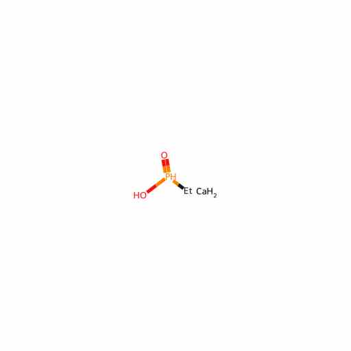 CC[PH](=O)O.[CaH2]